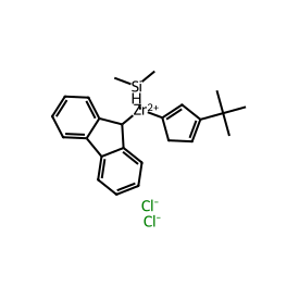 C[SiH](C)[Zr+2]([C]1=CC(C(C)(C)C)=CC1)[CH]1c2ccccc2-c2ccccc21.[Cl-].[Cl-]